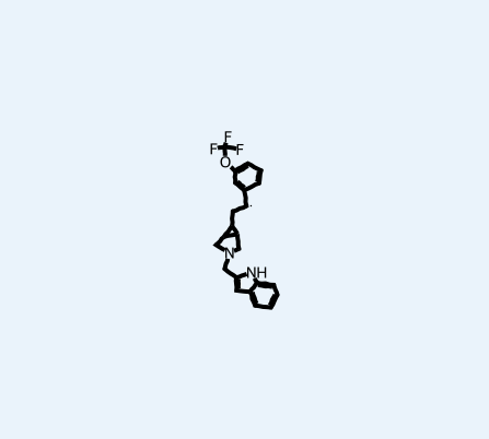 FC(F)(F)Oc1cccc([CH]CC2C3CN(Cc4cc5ccccc5[nH]4)CC23)c1